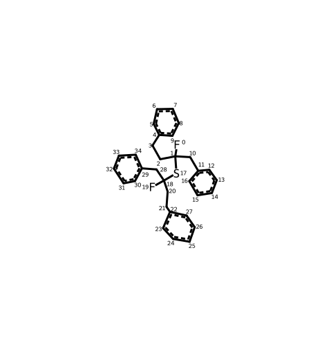 FC(CCc1ccccc1)(Cc1ccccc1)SC(F)(CCc1ccccc1)Cc1ccccc1